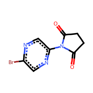 O=C1CCC(=O)N1c1cnc(Br)cn1